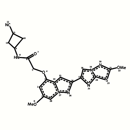 COc1cc(OCC(=O)NC2CC(C#N)C2)c2cc(-c3cn4nc(OC)sc4n3)nn2c1